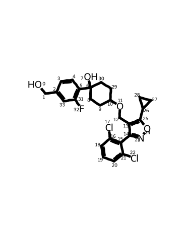 OCc1ccc(C2(O)CCC(OCc3c(-c4c(Cl)cccc4Cl)noc3C3CC3)CC2)c(F)c1